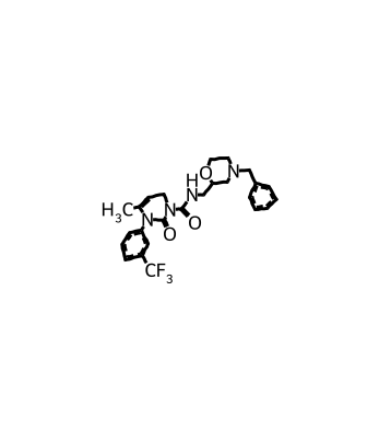 CC1=CCN(C(=O)NCC2CN(Cc3ccccc3)CCO2)C(=O)N1c1cccc(C(F)(F)F)c1